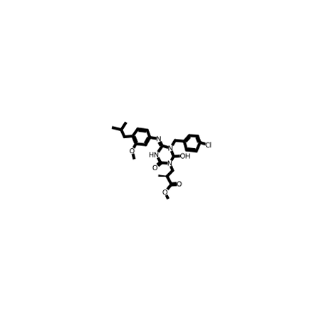 COC(=O)[C@@H](C)CN1C(=O)N/C(=N\c2ccc(CC(C)C)c(OC)c2)N(Cc2ccc(Cl)cc2)C1O